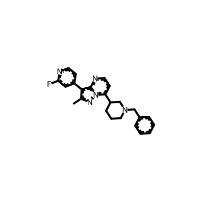 Cc1nn2c(C3CCCN(Cc4ccccc4)C3)ccnc2c1-c1ccnc(F)c1